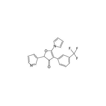 O=C1C(c2cccc(C(F)(F)F)c2)=C(n2cccc2)OC1c1cccnc1